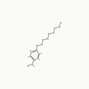 CCCCCCCCCc1ccc(SC)cc1